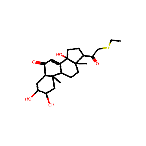 CCSCC(=O)C1CCC2(O)C3=CC(=O)C4CC(O)C(O)CC4(C)C3CCC12C